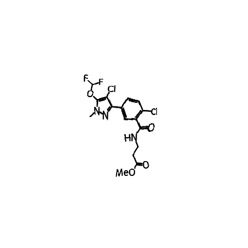 COC(=O)CCNC(=O)c1cc(-c2nn(C)c(OC(F)F)c2Cl)ccc1Cl